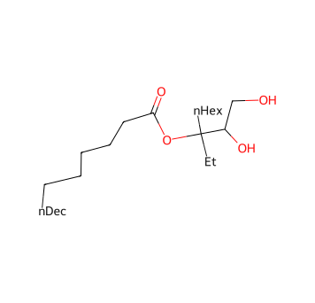 CCCCCCCCCCCCCCCC(=O)OC(CC)(CCCCCC)C(O)CO